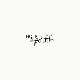 CC(C)(C)C(C)(C)COC(F)(F)CO